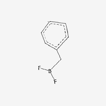 FB(F)Cc1cc[c]cc1